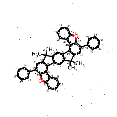 CC1(C)c2cc3c(cc2-c2c1cc(-c1ccccc1)c1oc4ccccc4c21)C(C)(C)c1cc(-c2ccccc2)c2oc4ccccc4c2c1-3